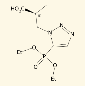 CCOP(=O)(OCC)c1cnnn1C[C@H](C)C(=O)O